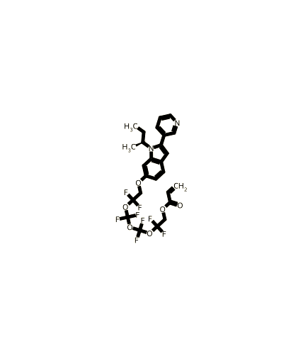 C=CC(=O)OCC(F)(F)OC(F)(F)OC(F)(F)OC(F)(F)COc1ccc2cc(-c3cccnc3)n([C@@H](C)CC)c2c1